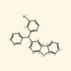 Brc1cccc(N(c2ccccc2)c2ccc3sc4ccccc4c3c2)c1